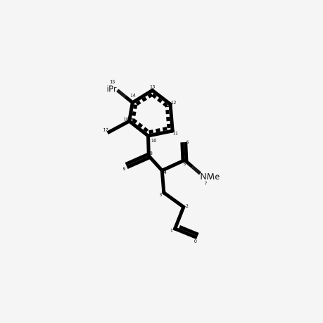 C=CCCC(C(=C)NC)C(=C)c1cccc(C(C)C)c1C